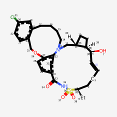 CC[C@@H]1CC/C=C/[C@H](O)[C@@H]2CC[C@H]2CN2CCCCc3cc(Cl)ccc3COc3ccc(cc32)C(=O)NS1(=O)=O